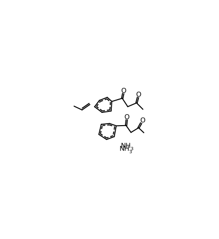 C=CC.CC(=O)CC(=O)c1ccccc1.CC(=O)CC(=O)c1ccccc1.N.N